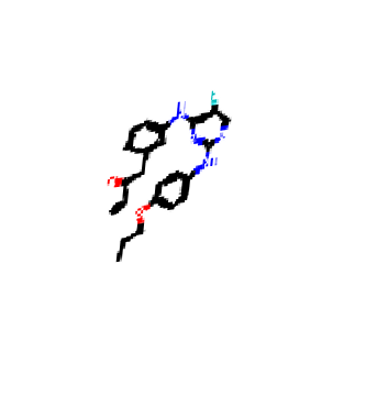 C=CC(=O)Cc1cccc(Nc2nc(Nc3ccc(OCCC)cc3)ncc2F)c1